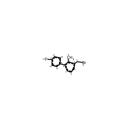 Cc1c(CBr)cccc1-c1ccc(F)cc1